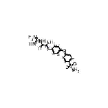 C/C(=C\c1ccc(Oc2ccc(S(N)(=O)=O)cc2)cc1)C(=O)NC(=N)N